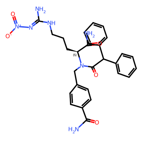 NC(=O)c1ccc(CN(C(=O)C(c2ccccc2)c2ccccc2)[C@@H](CCCNC(N)=N[N+](=O)[O-])C(N)=O)cc1